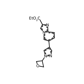 CCOC(=O)c1cn2cc(-c3cnn(C4COC4)c3)ccc2n1